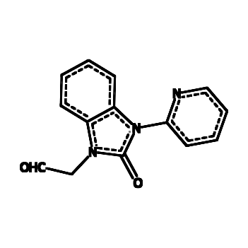 O=CCn1c(=O)n(-c2ccccn2)c2ccccc21